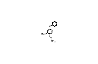 COc1cc(Oc2ccccc2)ccc1CCN